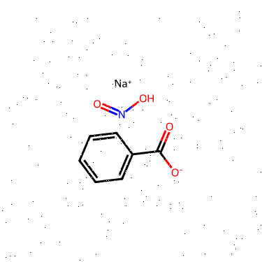 O=C([O-])c1ccccc1.O=NO.[Na+]